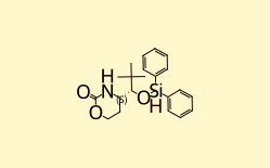 CC(C)(C)C(O[SiH](c1ccccc1)c1ccccc1)[C@@H]1CCOC(=O)N1